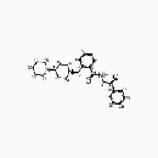 O=C(CNC(=O)c1ccccc1CN1CCC(N2CCCCC2)CC1)c1ccccc1